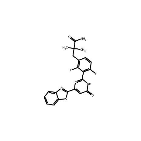 CC(C)(Cc1ccc(F)c(-c2nc(-c3nc4ccccc4s3)cc(=O)[nH]2)c1F)C(N)=O